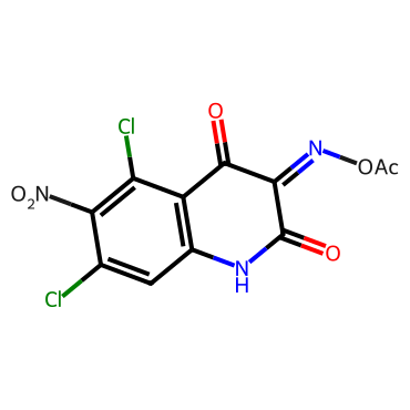 CC(=O)ON=C1C(=O)Nc2cc(Cl)c([N+](=O)[O-])c(Cl)c2C1=O